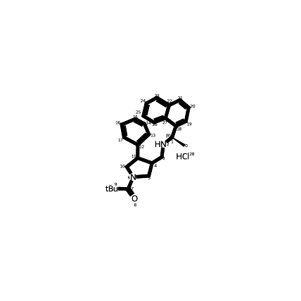 C[C@@H](NCC1CN(C(=O)C(C)(C)C)CC1c1ccccc1)c1cccc2ccccc12.Cl